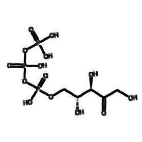 O=C(CO)[C@H](O)[C@H](O)COP(=O)(O)OP(=O)(O)OP(=O)(O)O